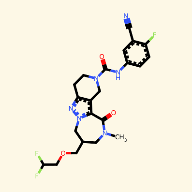 CN1CC(COCC(F)F)Cn2nc3c(c2C1=O)CN(C(=O)Nc1ccc(F)c(C#N)c1)CC3